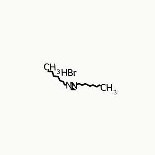 Br.CCCCCCCCN1C=CN(CCCCCCCC)C1